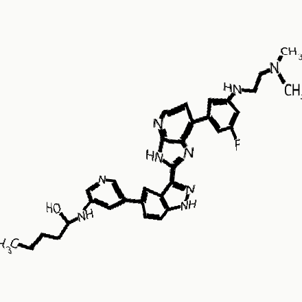 CCCCC(O)Nc1cncc(-c2ccc3[nH]nc(-c4nc5c(-c6cc(F)cc(NCCN(C)C)c6)ccnc5[nH]4)c3c2)c1